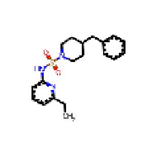 CCc1cccc(NS(=O)(=O)N2CCC(Cc3ccccc3)CC2)n1